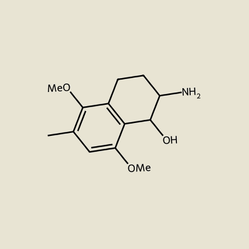 COc1cc(C)c(OC)c2c1C(O)C(N)CC2